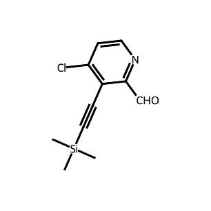 C[Si](C)(C)C#Cc1c(Cl)ccnc1C=O